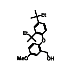 CCC(C)(C)c1ccc(Oc2ccc(OC)cc2CO)c(C(C)(C)CC)c1